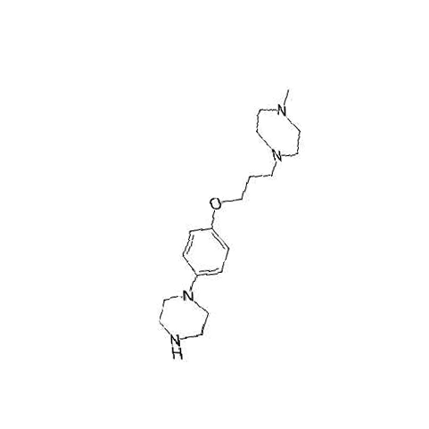 CN1CCN(CCCOc2ccc(N3CCNCC3)cc2)CC1